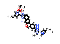 C[C@H]1C[C@@H](c2ncc(-c3ccc4c(c3)COc3cc5c(ccc6nc([C@@H]7C[C@H](C)CN7C(=O)OC(C)(C)C)[nH]c65)cc3-4)[nH]2)N(C(=O)O)C1